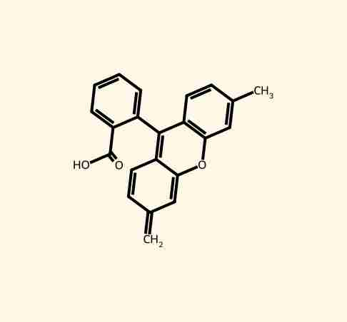 C=c1ccc2c(c1)Oc1cc(C)ccc1C=2c1ccccc1C(=O)O